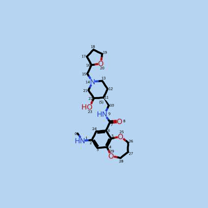 CNc1cc2c(c(C(=O)NC[C@@H]3CCN(CC4CCCO4)CC3O)c1)OCCCO2